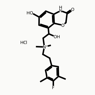 Cc1cc(CC[N+](C)(C)CC(O)c2cc(O)cc3c2OCC(=O)N3)cc(C)c1F.Cl